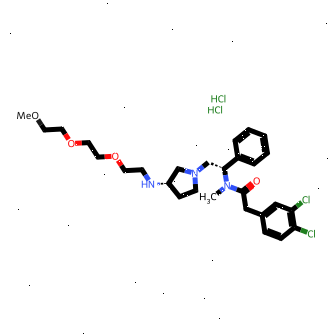 COCCOCCOCCN[C@H]1CCN(C[C@H](c2ccccc2)N(C)C(=O)Cc2ccc(Cl)c(Cl)c2)C1.Cl.Cl